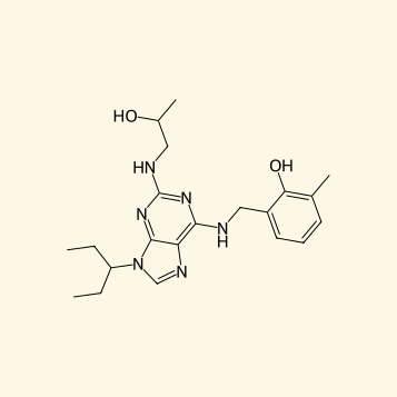 CCC(CC)n1cnc2c(NCc3cccc(C)c3O)nc(NCC(C)O)nc21